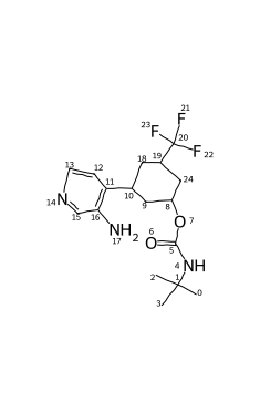 CC(C)(C)NC(=O)OC1CC(c2ccncc2N)CC(C(F)(F)F)C1